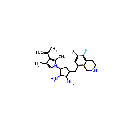 C=C(C)c1c(C)cn(C2CC(Cc3cc(C)c(F)c4c3CNCC4)C(N)C2N)c1C